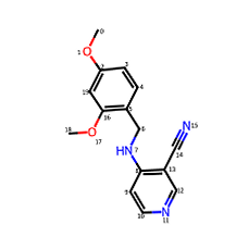 COc1ccc(CNc2ccncc2C#N)c(OC)c1